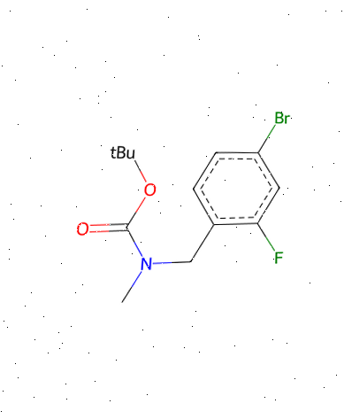 CN(Cc1ccc(Br)cc1F)C(=O)OC(C)(C)C